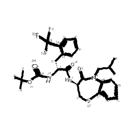 CC(C)CN1C(=O)[C@H](NC(=O)[C@@H](Cc2ccccc2C(F)(F)F)NC(=O)OC(C)(C)C)CSc2ccccc21